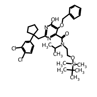 CC(C)N(CCO[Si](C)(C)C(C)(C)C)C(=O)c1nc(CC2(c3ccc(Cl)c(Cl)c3)CCCC2)nc(O)c1OCc1ccccc1